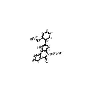 CCCCCn1c(=O)n2cnnc2c2[nH]c(-c3ccccc3OCCC)nc21